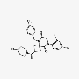 N#Cc1ccc(N2CC(=O)N(Cc3ccc(C(F)(F)F)cc3)[C@]3(C[C@H](C(=O)N4CCC(O)CC4)C3)C2=O)c(F)c1